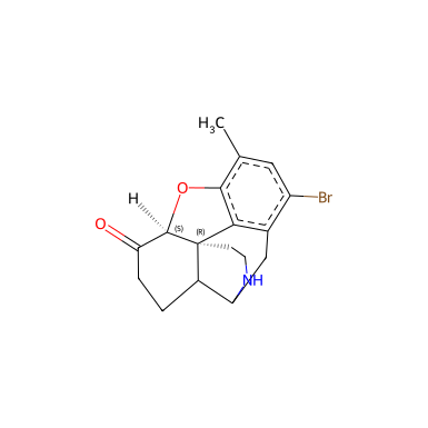 Cc1cc(Br)c2c3c1O[C@@H]1C(=O)CCC4C(C2)NCC[C@]341